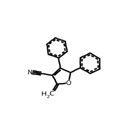 C=C1OC(c2ccccc2)C(c2ccccc2)=C1C#N